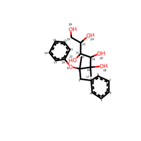 CC(Cc1ccccc1)(Oc1ccccc1)C(C)(O)C(O)C(O)C(O)CO